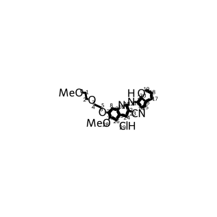 COCCOCCOc1cc2nc(Nc3ccc4cccoc3-4)c(C#N)cc2cc1OC.Cl